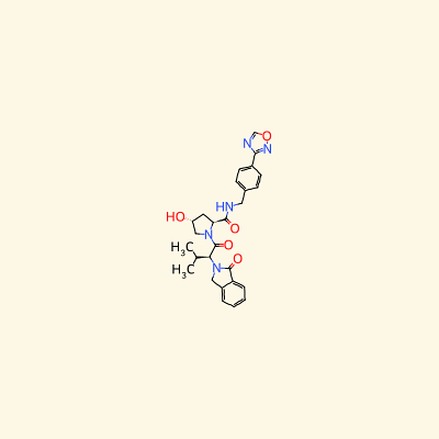 CC(C)[C@@H](C(=O)N1C[C@H](O)C[C@H]1C(=O)NCc1ccc(-c2ncon2)cc1)N1Cc2ccccc2C1=O